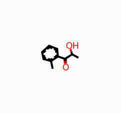 Cc1ccccc1C(=O)C(C)O